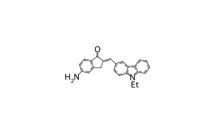 CCn1c2ccccc2c2cc(/C=C3\Cc4cc(N)ccc4C3=O)ccc21